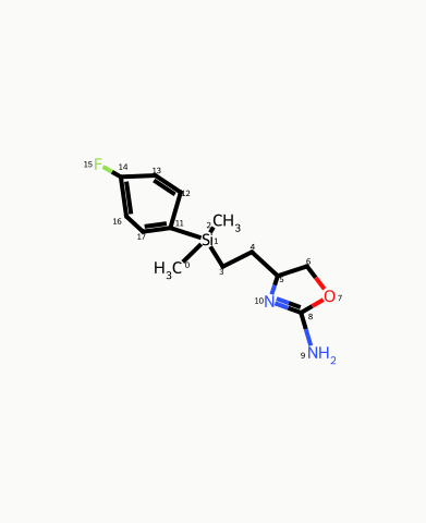 C[Si](C)(CCC1COC(N)=N1)c1ccc(F)cc1